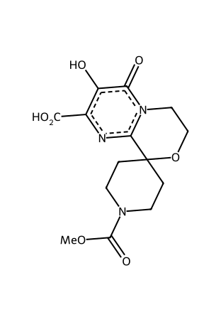 COC(=O)N1CCC2(CC1)OCCn1c2nc(C(=O)O)c(O)c1=O